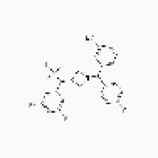 CC(C)(F)C(c1cc(F)cc(F)c1)C1CN(C(c2ccc(Cl)cc2)c2cccc(C#N)c2)C1